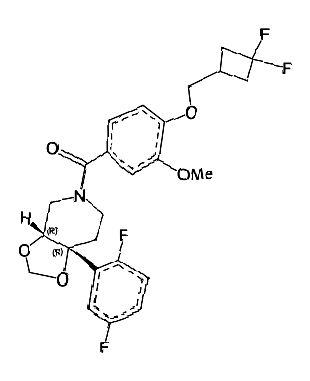 COc1cc(C(=O)N2CC[C@]3(c4cc(F)ccc4F)OCO[C@@H]3C2)ccc1OCC1CC(F)(F)C1